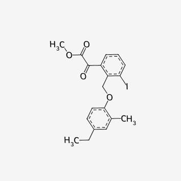 CCc1ccc(OCc2c(I)cccc2C(=O)C(=O)OC)c(C)c1